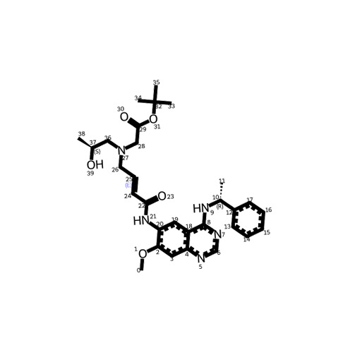 COc1cc2ncnc(N[C@H](C)c3ccccc3)c2cc1NC(=O)/C=C/CN(CC(=O)OC(C)(C)C)C[C@H](C)O